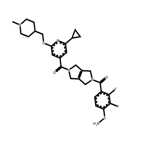 CN1CCC(COc2cc(C(=O)N3CC4=C(C3)CN(C(=O)c3ccc(SN)c(F)c3F)C4)cc(C3CC3)n2)CC1